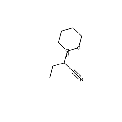 CCC(C#N)[SiH]1CCCCO1